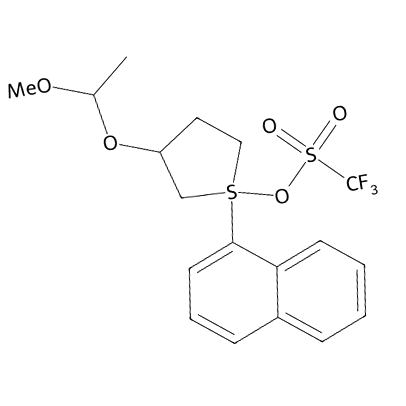 COC(C)OC1CCS(OS(=O)(=O)C(F)(F)F)(c2cccc3ccccc23)C1